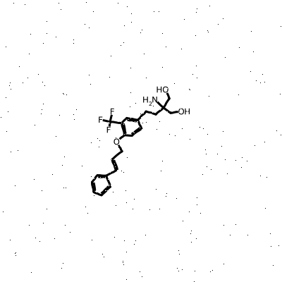 NC(CO)(CO)CCc1ccc(OC/C=C/c2ccccc2)c(C(F)(F)F)c1